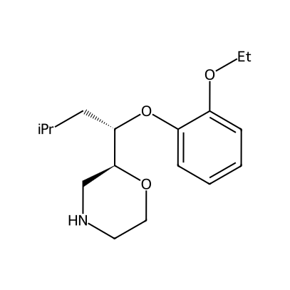 CCOc1ccccc1O[C@@H](CC(C)C)[C@@H]1CNCCO1